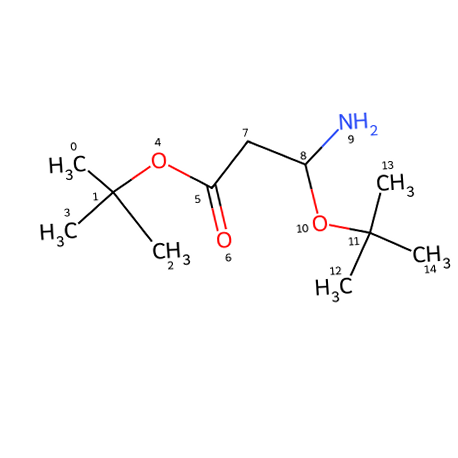 CC(C)(C)OC(=O)CC(N)OC(C)(C)C